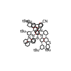 CC(C)(C)c1cc(-c2ccc3c(c2)B2c4ccc(-c5ccccc5)cc4N(c4c(-c5cccc6sc7cc(C(C)(C)C)ccc7c56)cc(C(C)(C)C)cc4-n4c5ccccc5c5ccccc54)c4cc(-n5c6ccc(C#N)cc6c6cc(C(C)(C)C)ccc65)cc(c42)N3c2c(-c3ccc4c(c3)sc3ccccc34)cccc2-n2c3ccccc3c3ccccc32)cc(C(C)(C)C)c1